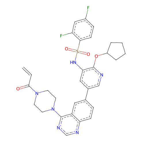 C=CC(=O)N1CCN(c2ncnc3ccc(-c4cnc(OC5CCCC5)c(NS(=O)(=O)c5ccc(F)cc5F)c4)cc23)CC1